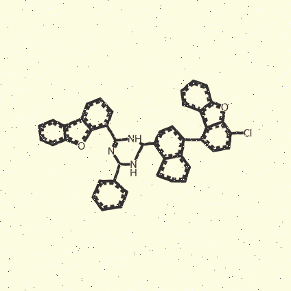 Clc1ccc(-c2ccc(C3NC(c4cccc5c4oc4ccccc45)=NC(c4ccccc4)N3)c3ccccc23)c2c1oc1ccccc12